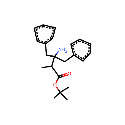 CC(C(=O)OC(C)(C)C)C(N)(Cc1ccccc1)Cc1ccccc1